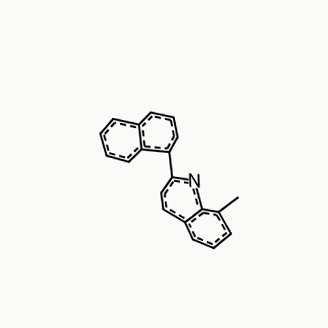 Cc1cccc2ccc(-c3cccc4ccccc34)nc12